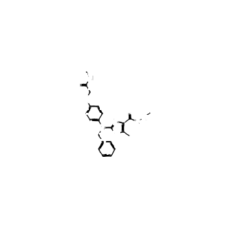 CNC(=O)COc1ccc(N(Cc2ccccc2)c2nc(C(=O)NS(C)(=O)=O)c(C)s2)cc1